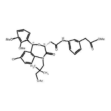 COC(=O)Cc1cccc(NC(=O)C[C@H]2O[C@H](c3cccc(OC)c3OC)c3cc(Cl)ccc3N(CC(C)(C)COC(C)=O)C2=O)c1